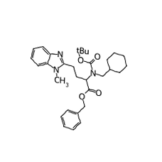 Cn1c(CCC(C(=O)OCc2ccccc2)N(CC2CCCCC2)C(=O)OC(C)(C)C)nc2ccccc21